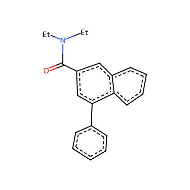 CCN(CC)C(=O)c1cc(-c2ccccc2)c2ccccc2c1